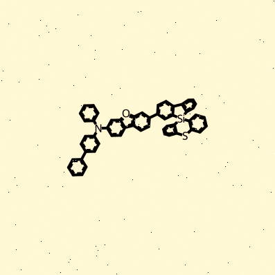 c1ccc(-c2ccc(N(c3ccccc3)c3ccc4c(c3)oc3cc(-c5ccc6c(c5)[Si]5(c7ccccc7Sc7ccccc75)c5ccccc5-6)ccc34)cc2)cc1